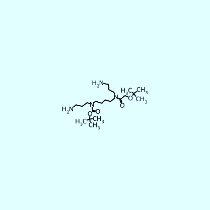 CC(C)(C)OCC(=O)N(CCCN)CCCCN(CCCN)C(=O)OC(C)(C)C